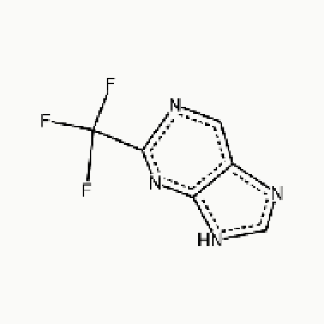 FC(F)(F)c1ncc2nc[nH]c2n1